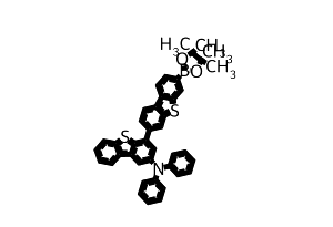 CC1(C)OB(c2ccc3c(c2)sc2cc(-c4cc(N(c5ccccc5)c5ccccc5)cc5c4sc4ccccc45)ccc23)OC1(C)C